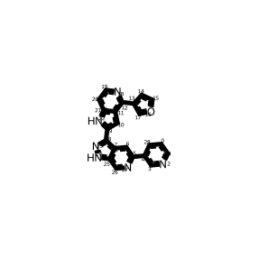 c1cncc(-c2cc3c(-c4cc5c(-c6ccoc6)nccc5[nH]4)n[nH]c3cn2)c1